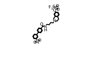 CS(=O)(=O)c1cccc(-c2ccc(C(=O)NCCCCN3CCc4ccc(OS(=O)(=O)C(F)(F)F)cc4C3)cc2)c1